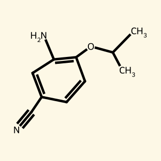 CC(C)Oc1ccc(C#N)cc1N